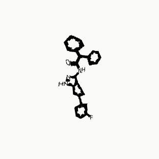 O=C(Nc1n[nH]c2cc(-c3cccc(F)c3)ccc12)C(c1ccccc1)c1ccccc1